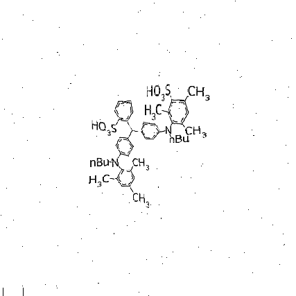 CCCCN(c1ccc(C(c2ccc(N(CCCC)c3c(C)cc(C)c(S(=O)(=O)O)c3C)cc2)c2ccccc2S(=O)(=O)O)cc1)c1c(C)cc(C)cc1C